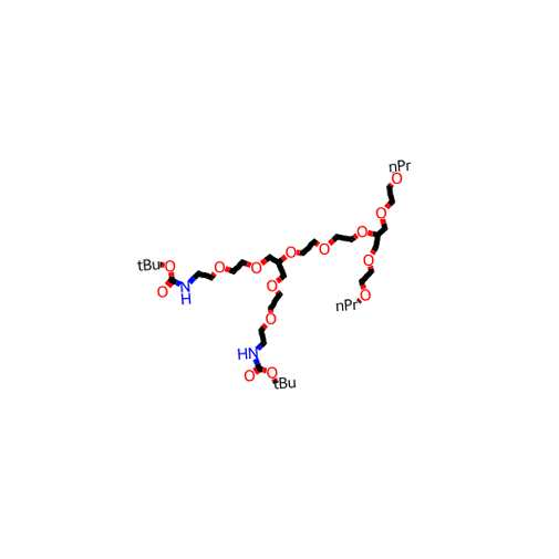 CCCOCCOCC(COCCOCCC)OCCOCCOC(COCCOCCNC(=O)OC(C)(C)C)COCCOCCNC(=O)OC(C)(C)C